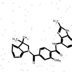 COc1cc(C(=O)N2CC(C)(C)c3ccccc32)ccc1C(=O)Nc1cccc2[nH]c(C)nc12